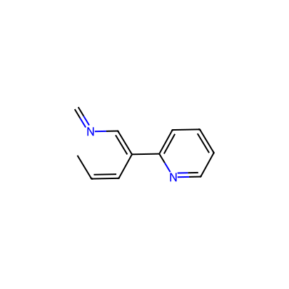 C=N/C=C(\C=C/C)c1ccccn1